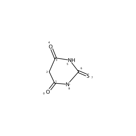 O=C1CC(=O)NC(=S)[N]1